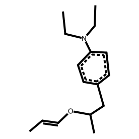 CC=COC(C)Cc1ccc(N(CC)CC)cc1